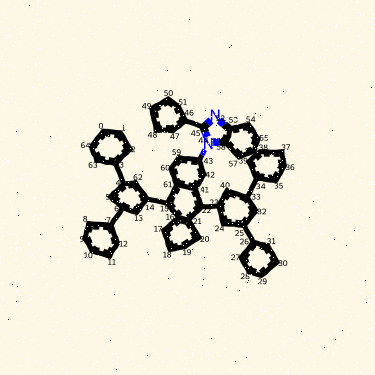 c1ccc(-c2cc(-c3ccccc3)cc(-c3c4ccccc4c(-c4cc(-c5ccccc5)cc(-c5ccccc5)c4)c4cc(-n5c(-c6ccccc6)nc6ccccc65)ccc34)c2)cc1